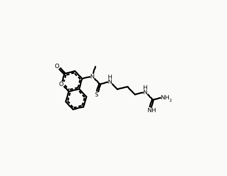 CN(C(=S)NCCCNC(=N)N)c1cc(=O)oc2ccccc12